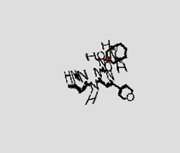 Cc1cc(Nc2cc(C3=CCOCC3)nc(N(C)C3C[C@H]4CCC[C@@H](C3)N4C(=O)O)n2)n[nH]1